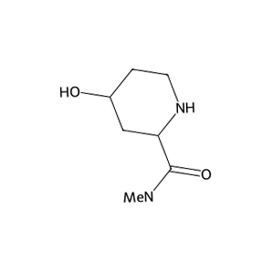 CNC(=O)C1CC(O)CCN1